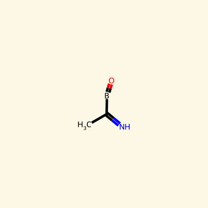 CC(=N)B=O